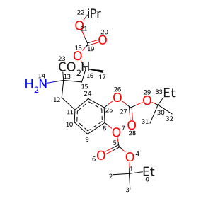 CCC(C)(C)OC(=O)Oc1ccc(CC(N)(C[C@H](C)OC(=O)OC(C)C)C(=O)O)cc1OC(=O)OC(C)(C)CC